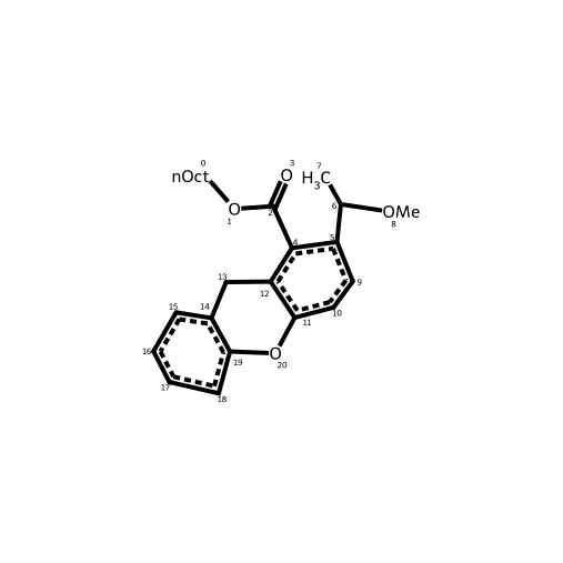 CCCCCCCCOC(=O)c1c(C(C)OC)ccc2c1Cc1ccccc1O2